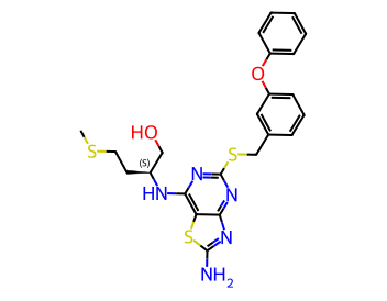 CSCC[C@@H](CO)Nc1nc(SCc2cccc(Oc3ccccc3)c2)nc2nc(N)sc12